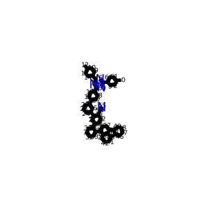 Cc1ccc(-c2nc(-c3ccc(C)cc3)nc(-c3ccc(-c4cccc(-c5cc(-c6ccccc6-c6ccc7c8c(cccc68)-c6ccccc6-7)ccc5C#N)c4)cc3)n2)cc1